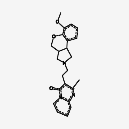 COc1cccc2c1OCC1CN(CCc3c(C)nc4ccccn4c3=O)CC21